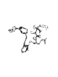 COc1cccc(CCc2ccccc2OCC(CCN(C)C)OC(=O)[C@@H](F)C(F)(F)C(=O)O)c1